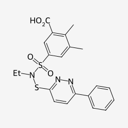 CCN(Sc1ccc(-c2ccccc2)nn1)S(=O)(=O)c1cc(C)c(C)c(C(=O)O)c1